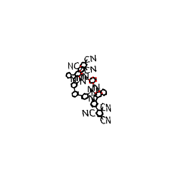 N#Cc1cc(C#N)c(-c2ccc3c(c2)c2ccccc2n3-c2ccc(-c3cccc(-c4ccc(-n5c6ccccc6c6cc(-c7c(C#N)cc(C#N)cc7C#N)ccc65)c(-c5nc(-c6ccccc6)nc(-c6ccccc6)n5)c4)c3)cc2-c2nc(-c3ccccc3)nc(-c3ccccc3)n2)c(C#N)c1